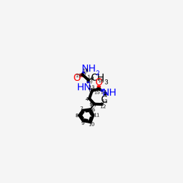 C[C@H](N[C@H]1C[C@H](c2ccccc2)CCNC1=O)C(N)=O